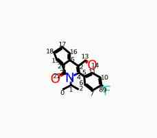 CC(C)n1c(-c2ccc(F)cc2)c(C=O)c2ccccc2c1=O